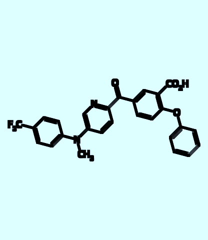 CN(c1ccc(C(F)(F)F)cc1)c1ccc(C(=O)c2ccc(Oc3ccccc3)c(C(=O)O)c2)nc1